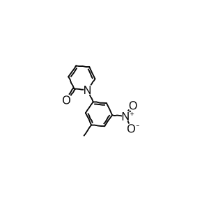 Cc1cc(-n2ccccc2=O)cc([N+](=O)[O-])c1